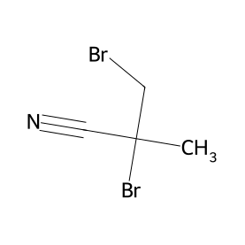 CC(Br)(C#N)CBr